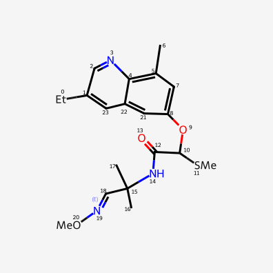 CCc1cnc2c(C)cc(OC(SC)C(=O)NC(C)(C)/C=N/OC)cc2c1